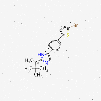 C[C@H](c1ncc(-c2ccc(-c3ccc(Br)s3)cc2)[nH]1)C(C)(C)C